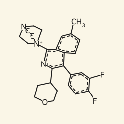 Cc1ccc2c(-c3ccc(F)c(F)c3)c(C3CCOCC3)nc([N+]34CCN(CC3)CC4)c2c1